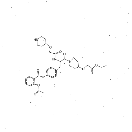 CCOC(=O)COC1CCN(C(=O)[C@H](Cc2ccc(OC(=O)c3ccccc3OC(C)=O)cc2)NC(=O)COC2CCNCC2)CC1